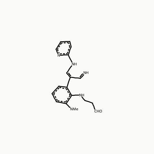 CNc1cccc(/C(C=N)=C/Nc2ccccn2)c1NCCC=O